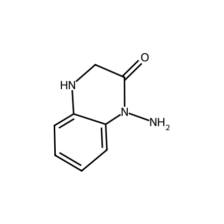 NN1C(=O)CNc2ccccc21